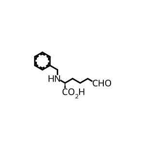 O=CCCC[C@H](NCc1ccccc1)C(=O)O